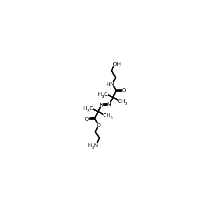 CC(C)(N=NC(C)(C)C(=O)OCCN)C(=O)NCCO